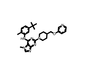 Cc1ccc(C(C)(C)C)cc1Nc1nc(N2CCC(COc3cccnc3)CC2)nc2ncn(C)c12